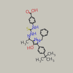 CC(=NNC(=S)Nc1ccc(C(=O)O)cc1)c1nn(Cc2ccccc2)c(-c2ccc(C(C)(C)C)cc2)c1O